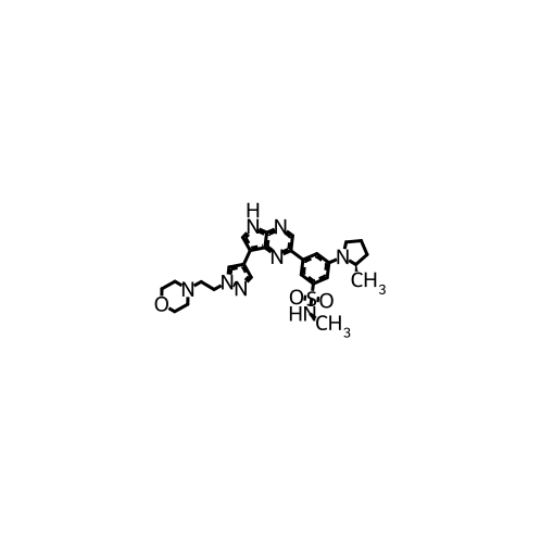 CNS(=O)(=O)c1cc(-c2cnc3[nH]cc(-c4cnn(CCN5CCOCC5)c4)c3n2)cc(N2CCC[C@H]2C)c1